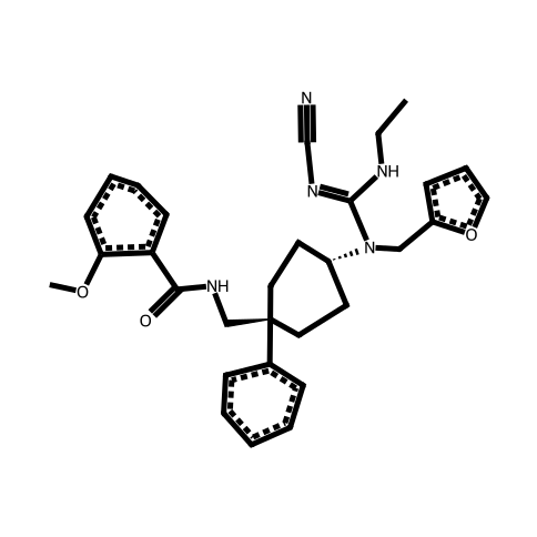 CCNC(=NC#N)N(Cc1ccco1)[C@H]1CC[C@@](CNC(=O)c2ccccc2OC)(c2ccccc2)CC1